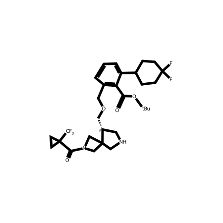 CC(C)(C)OC(=O)c1c(COC[C@@H]2CNCC23CN(C(=O)C2(C(F)(F)F)CC2)C3)cccc1C1CCC(F)(F)CC1